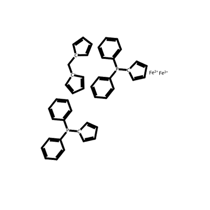 [Fe+2].[Fe+2].c1cc[c-](C[c-]2cccc2)c1.c1ccc(P(c2ccccc2)[c-]2cccc2)cc1.c1ccc(P(c2ccccc2)[c-]2cccc2)cc1